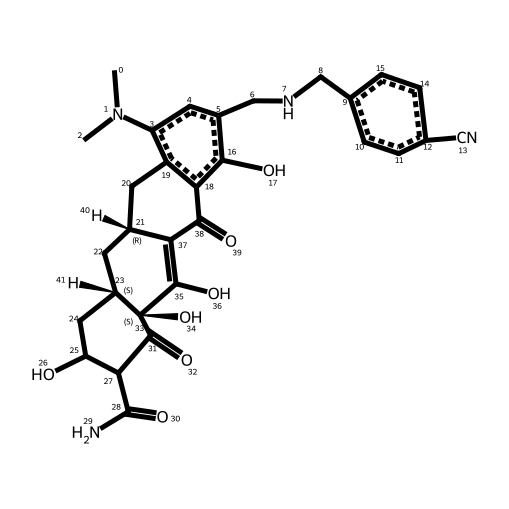 CN(C)c1cc(CNCc2ccc(C#N)cc2)c(O)c2c1C[C@H]1C[C@H]3CC(O)C(C(N)=O)C(=O)[C@@]3(O)C(O)=C1C2=O